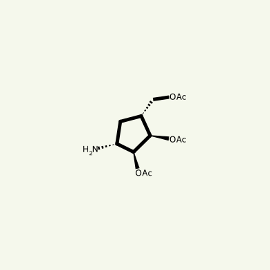 CC(=O)OC[C@H]1C[C@@H](N)[C@H](OC(C)=O)[C@@H]1OC(C)=O